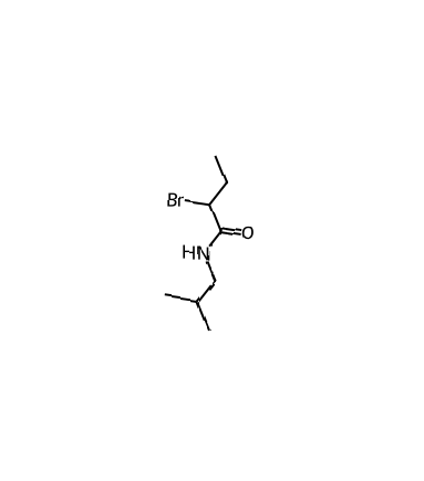 CCC(Br)C(=O)NCC(C)C